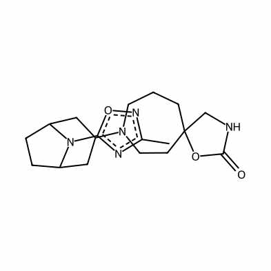 Cc1noc(N2C3CCC2CC(N2CCCC4(CC2)CNC(=O)O4)C3)n1